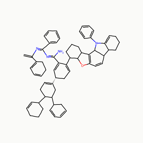 C=C(/N=C(\N=C(/N)C1=C[C@@H](C2=CCC(C3C=CCCC3)C(C3C=CC=CC3)C2)CC=C1C1CCCC2C3=C(C=CC4C5CCCC=C5N(c5ccccc5)C34)OC12)c1ccccc1)C1=CC=CCC1